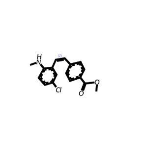 CNc1ccc(Cl)cc1/C=C\c1ccc(C(=O)OC)cc1